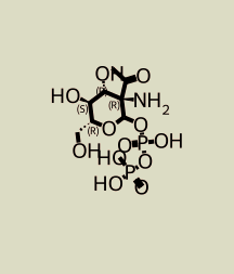 CC(=O)[C@]1(N)C(OP(=O)(O)OP(=O)(O)O)O[C@H](CO)[C@@H](O)[C@@H]1O